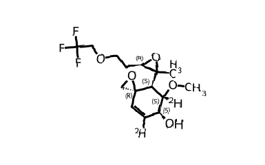 [2H]C1=C[C@]2(CO2)[C@@H](C2(C)O[C@@H]2CCOCC(F)(F)F)[C@]([2H])(OC)[C@H]1O